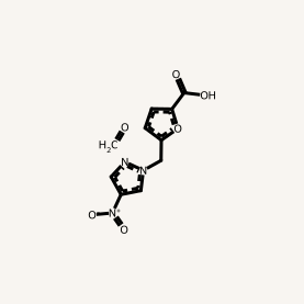 C=O.O=C(O)c1ccc(Cn2cc([N+](=O)[O-])cn2)o1